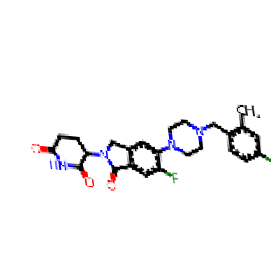 Cc1cc(F)ccc1CN1CCN(c2cc3c(cc2F)C(=O)N(C2CCC(=O)NC2=O)C3)CC1